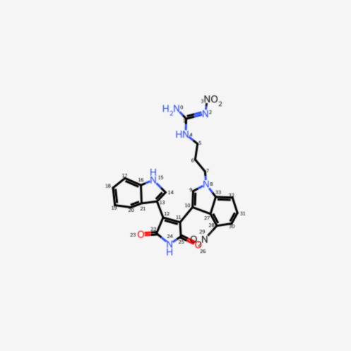 NC(=N[N+](=O)[O-])NCCCn1cc(C2=C(c3c[nH]c4ccccc34)C(=O)NC2=O)c2c([N+](=O)[O-])cccc21